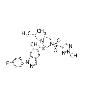 Cc1cc2c(cnn2-c2ccc(F)cc2)cc1[C@H]1CN(S(=O)(=O)c2cnn(C)n2)CCN1CC(C)C